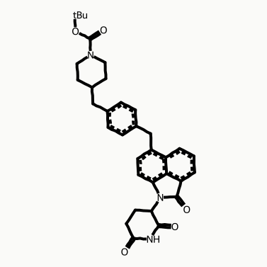 CC(C)(C)OC(=O)N1CCC(Cc2ccc(Cc3ccc4c5c(cccc35)C(=O)N4C3CCC(=O)NC3=O)cc2)CC1